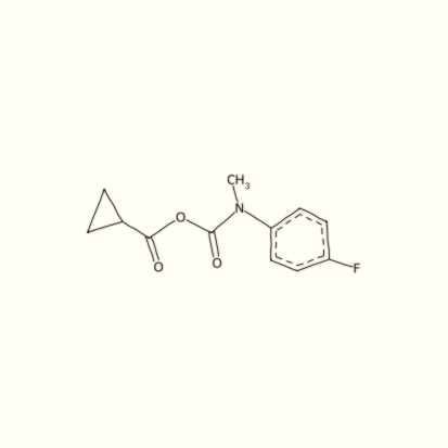 CN(C(=O)OC(=O)C1CC1)c1ccc(F)cc1